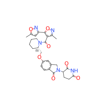 Cc1cc(-c2onc(C)c2C(=O)N2CCCC[C@H]2COc2ccc3c(c2)CN(C2CCC(=O)NC2=O)C3=O)no1